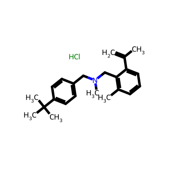 C=C(C)c1cccc(C)c1CN(C)Cc1ccc(C(C)(C)C)cc1.Cl